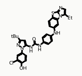 CCc1cnc2sc3ccc(Nc4ccc(NC(=O)Nc5cc(C(C)(C)C)nn5-c5ccc(O)c(Cl)c5)cc4)cc3n12